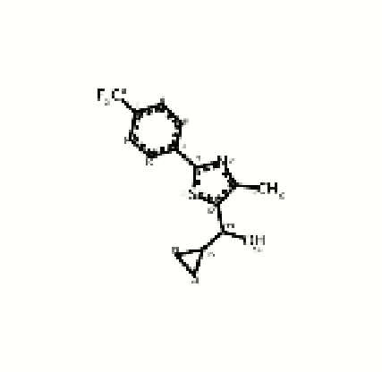 Cc1nc(-c2ccc(C(F)(F)F)cc2)sc1C(O)C1CC1